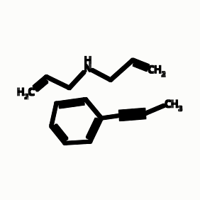 C=CCNCC=C.CC#Cc1ccccc1